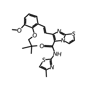 COc1cccc(/C=C/c2nc3sccn3c2C(=O)Nc2nc(C)cs2)c1OCC(C)(C)C